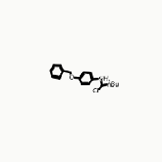 CCCCC(Cl)[SiH2]c1ccc(OCc2ccccc2)cc1